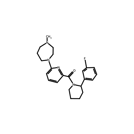 CN1CCCN(c2cccc(C(=O)N3CCCCC3c3cccc(F)c3)n2)CC1